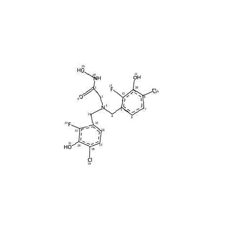 O=C(CN(Cc1ccc(Cl)c(O)c1F)Cc1ccc(Cl)c(O)c1F)NO